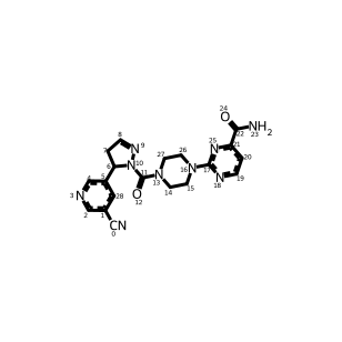 N#Cc1cncc(C2CC=NN2C(=O)N2CCN(c3nccc(C(N)=O)n3)CC2)c1